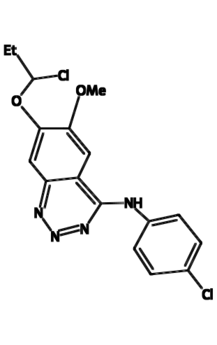 CCC(Cl)Oc1cc2nnnc(Nc3ccc(Cl)cc3)c2cc1OC